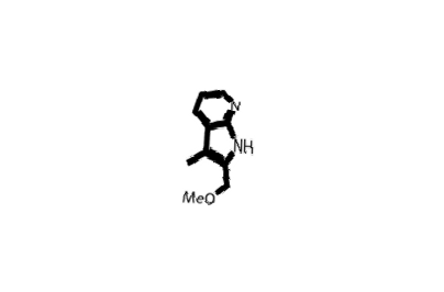 COCc1[nH]c2ncccc2c1C